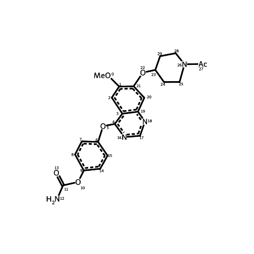 COc1cc2c(Oc3ccc(OC(N)=O)cc3)ncnc2cc1OC1CCN(C(C)=O)CC1